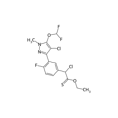 CCOC(=S)C(Cl)c1ccc(F)c(-c2nn(C)c(OC(F)F)c2Cl)c1